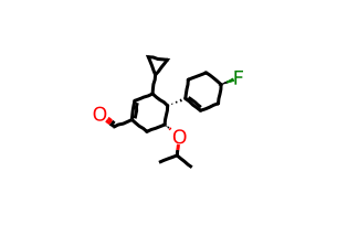 CC(C)O[C@@H]1CC(C=O)=CC(C2CC2)[C@@H]1C1=CC[C@H](F)CC1